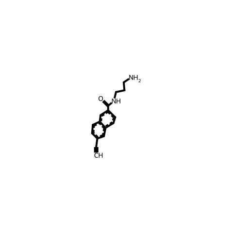 C#Cc1ccc2cc(C(=O)NCCCN)ccc2c1